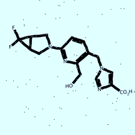 O=C(O)c1cn(Cc2ccc(N3CC4C(C3)C4(F)F)nc2CO)cn1